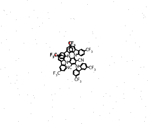 N#Cc1c(-n2c3ccc(C(F)(F)F)cc3c3cc(C(F)(F)F)ccc32)c(C#N)c(-n2c3ccc(C(F)(F)F)cc3c3cc(C(F)(F)F)ccc32)c(-n2c3ccc(C(F)(F)F)cc3c3cc(C(F)(F)F)ccc32)c1-n1c2ccc(C(F)(F)F)cc2c2cc(C(F)(F)F)ccc21